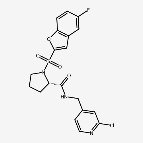 O=C(NCc1ccnc(Cl)c1)[C@@H]1CCCN1S(=O)(=O)c1cc2cc(F)ccc2o1